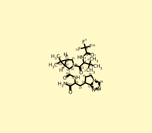 CC(C)(C)C(NC(=O)C(F)(F)F)C(=O)N1C[C@H]2[C@@H]([C@H]1C(=O)NC(CC1CCn3cnnc31)C(N)=O)C2(C)C